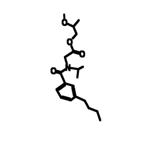 CCCCc1cccc(C(=O)N(CC(=O)OCC(C)OC)C(C)C)c1